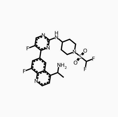 CC(N)c1ccnc2c(F)cc(-c3nc(NC4CCN(S(=O)(=O)C(F)F)CC4)ncc3F)cc12